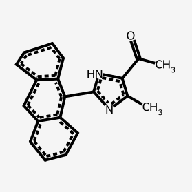 CC(=O)c1[nH]c(-c2c3ccccc3cc3ccccc23)nc1C